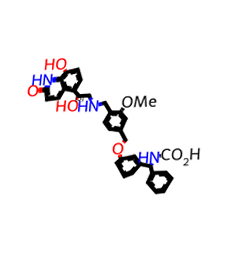 COc1cc(COc2cccc(C(NC(=O)O)c3ccccc3)c2)ccc1CNC[C@@H](O)c1ccc(O)c2[nH]c(=O)ccc12